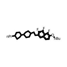 CCCCOc1ccc2cc(CCC3CCC(C4CCC(CCC)CC4)CC3)c(F)c(F)c2c1F